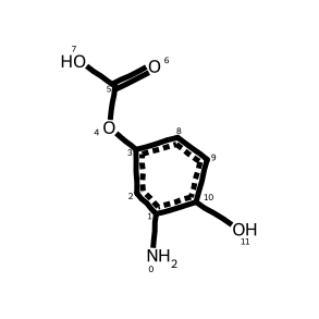 Nc1cc(OC(=O)O)ccc1O